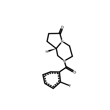 O=C(c1ccccc1F)N1CCN2C(=O)CC[C@H]2C1